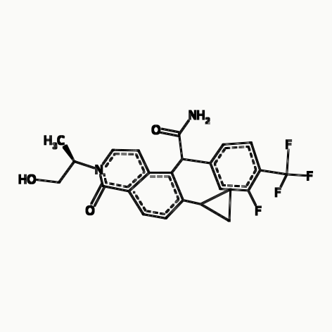 C[C@H](CO)n1ccc2c(C(C(N)=O)c3ccc(C(F)(F)F)c(F)c3)c(C3CC3)ccc2c1=O